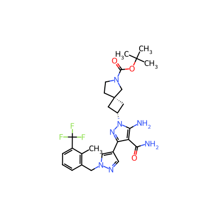 Cc1c(Cn2cc(-c3nn([C@H]4C[C@@]5(CCN(C(=O)OC(C)(C)C)C5)C4)c(N)c3C(N)=O)cn2)cccc1C(F)(F)F